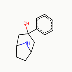 OC1(c2ccccc2)CC2CCC(C1)N2